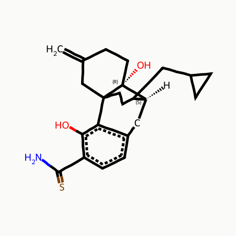 C=C1CC[C@@]2(O)[C@H]3Cc4ccc(C(N)=S)c(O)c4C2(CCC3CC2CC2)C1